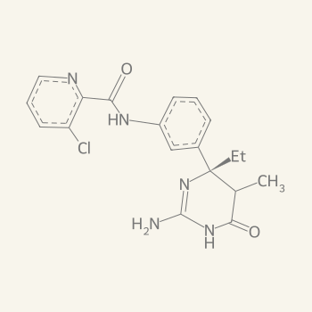 CC[C@]1(c2cccc(NC(=O)c3ncccc3Cl)c2)N=C(N)NC(=O)C1C